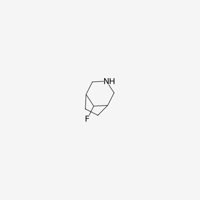 FC1C2CCC1CNC2